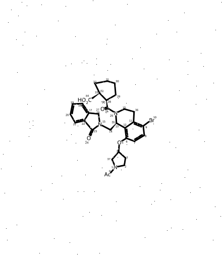 CC(=O)N1CCC(Oc2ccc(Br)c3c2[C@@H](CN2Cc4ccccc4C2=O)N(C(=O)[C@@H]2CCCC[C@@H]2C(=O)O)CC3)C1